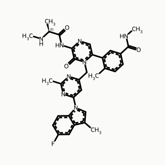 CNC(=O)c1ccc(C)c(-c2cnc(NC(=O)[C@H](C)NC)c(=O)n2Cc2cc(-n3cc(C)c4cc(F)ccc43)nc(C)n2)c1